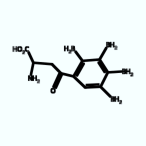 Bc1cc(C(=O)CC(N)C(=O)O)c(B)c(B)c1B